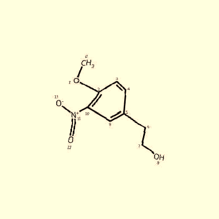 COc1ccc(CCO)cc1[N+](=O)[O-]